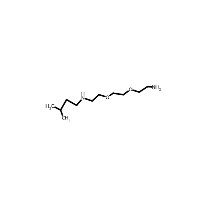 CC(C)CCNCCOCCOCCN